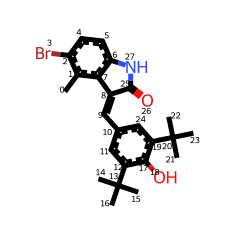 Cc1c(Br)ccc2c1C(=Cc1cc(C(C)(C)C)c(O)c(C(C)(C)C)c1)C(=O)N2